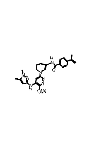 C=C(C)c1ccc(C(=O)NC2CCCN(c3cc(Nc4cc(C)n(C)n4)c(OC)nn3)C2)cc1